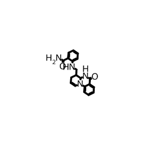 NC(=O)c1ccccc1NCC1CC=CN2c3ccccc3C(=O)NC12